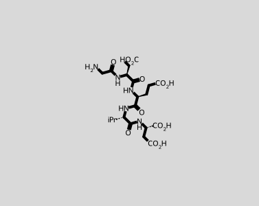 CC(C)[C@H](NC(=O)[C@H](CCC(=O)O)NC(=O)[C@H](CC(=O)O)NC(=O)CN)C(=O)N[C@@H](CC(=O)O)C(=O)O